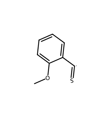 COc1ccccc1[C]=S